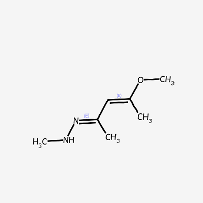 CN/N=C(C)/C=C(\C)OC